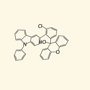 OC1(c2cccc(Cl)c2-c2ccc3c(c2)c2ccccc2n3-c2ccccc2)c2ccccc2Oc2ccccc21